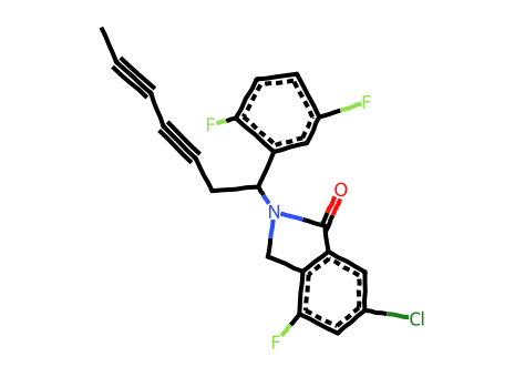 CC#CC#CCC(c1cc(F)ccc1F)N1Cc2c(F)cc(Cl)cc2C1=O